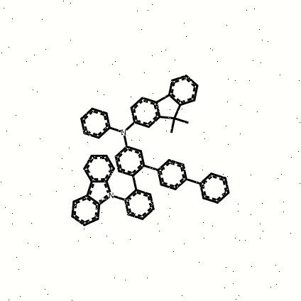 CC1(C)c2ccccc2-c2ccc(N(c3ccccc3)c3ccc(-c4ccccc4-n4c5ccccc5c5ccccc54)c(-c4ccc(-c5ccccc5)cc4)c3)cc21